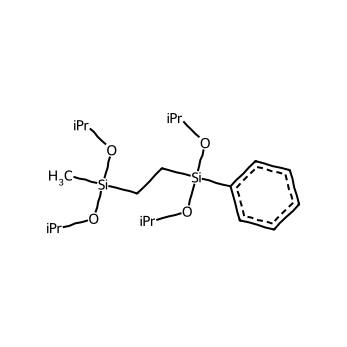 CC(C)O[Si](C)(CC[Si](OC(C)C)(OC(C)C)c1ccccc1)OC(C)C